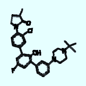 CC1=CCN(c2ccc(-c3cc(F)cc(-c4cccc(N5CCN(C(C)(C)C)CC5)c4)c3O)cc2Cl)C1=O